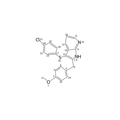 COc1ccc(Cc2[nH]c3ncccc3c2Sc2ccc(Cl)cc2)cc1